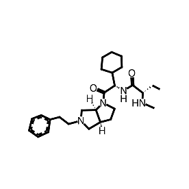 CC[C@H](NC)C(=O)N[C@H](C(=O)N1CC[C@H]2CN(CCc3ccccc3)C[C@H]21)C1CCCCC1